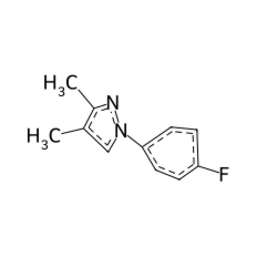 Cc1cn(-c2ccc(F)cc2)nc1C